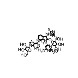 CN1C(=O)/C(=N\NC(N)=S)c2ccccc21.Nc1ccn([C@@H]2O[C@H](CO)[C@@H](O)[C@@H]2O)c(=O)n1.Nc1ncnc2c1ncn2[C@@H]1O[C@H](CO)[C@@H](O)[C@@H]1O.O